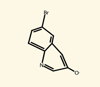 [O]c1cnc2ccc(Br)cc2c1